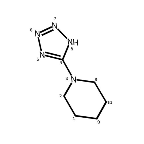 C1CCN(c2nnn[nH]2)CC1